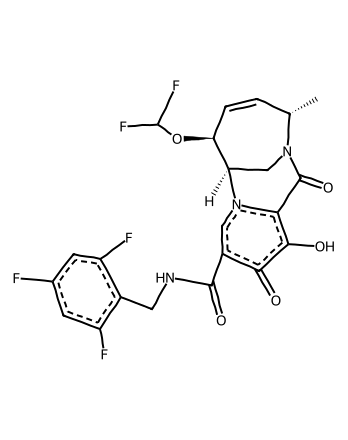 C[C@H]1C=C[C@H](OC(F)F)[C@H]2CN1C(=O)c1c(O)c(=O)c(C(=O)NCc3c(F)cc(F)cc3F)cn12